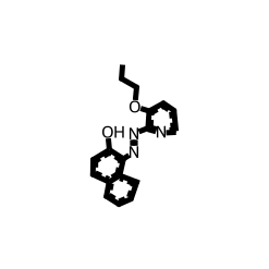 CCCOc1cccnc1/N=N/c1c(O)ccc2ccccc12